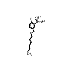 CCCCCCCOCc1ccc(F)c(B(O)O)c1